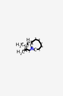 C=C(CN1CCCCCCCC1)[SiH](C)C